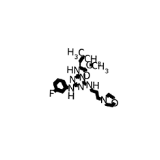 COC(=O)[C@H](CC(C)C)Nc1nc(NCCCN2CCOCC2)nc(Nc2cccc(F)c2)n1